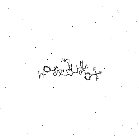 CC(CC1CNC(CC(C)NS(=O)(=O)c2cccc(C(F)(F)F)c2)C1)NS(=O)(=O)c1cccc(C(F)(F)F)c1.Cl